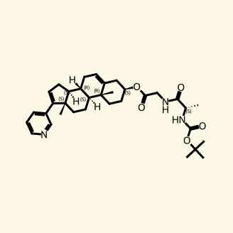 C[C@H](NC(=O)OC(C)(C)C)C(=O)NCC(=O)O[C@H]1CC[C@@]2(C)C(=CC[C@@H]3[C@@H]2CC[C@]2(C)C(c4cccnc4)=CC[C@@H]32)C1